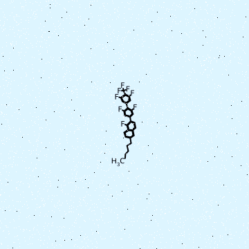 CCCCCCc1ccc2c(F)c(-c3cc(F)c(-c4cc(F)c(C(F)(F)F)c(F)c4)c(F)c3)ccc2c1